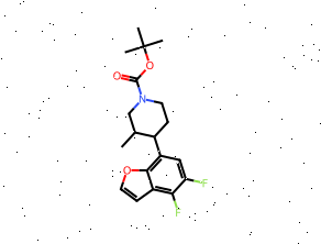 CC1CN(C(=O)OC(C)(C)C)CCC1c1cc(F)c(F)c2ccoc12